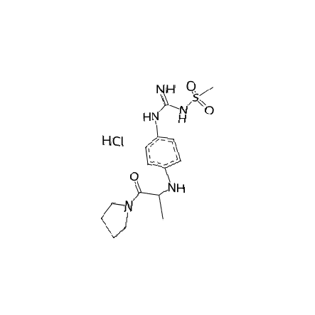 CC(Nc1ccc(NC(=N)NS(C)(=O)=O)cc1)C(=O)N1CCCC1.Cl